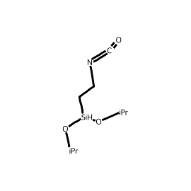 CC(C)O[SiH](CCN=C=O)OC(C)C